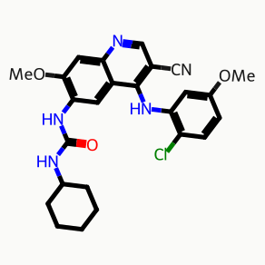 COc1ccc(Cl)c(Nc2c(C#N)cnc3cc(OC)c(NC(=O)NC4CCCCC4)cc23)c1